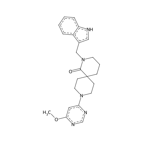 COc1cc(N2CCC3(CCCN(Cc4c[nH]c5ccccc45)C3=O)CC2)ncn1